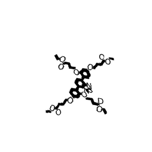 CCOC(=O)CCCOc1ccc(-c2ccc(-c3ccc(OCCCC(=O)OCC)cc3OCCCC(=O)OCC)c3nsnc23)c(OCCCC(=O)OCC)c1